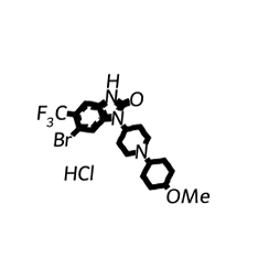 COC1CCC(N2CCC(n3c(=O)[nH]c4cc(C(F)(F)F)c(Br)cc43)CC2)CC1.Cl